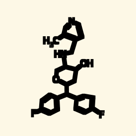 Cc1cnccc1CNC1COC(C(c2ccc(F)cc2)c2ccc(F)cc2)CC1O